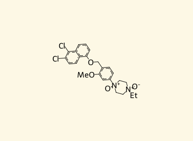 CC[N+]1([O-])CC[N+]([O-])(c2ccc(COc3cccc4c(Cl)c(Cl)ccc34)c(OC)c2)CC1